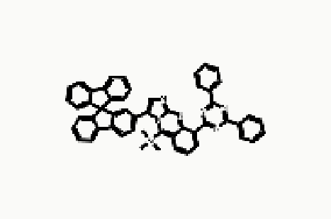 C[Si](C)(C)c1c2cccc(-c3nc(-c4ccccc4)nc(-c4ccccc4)n3)c2nc2ncc(-c3ccc4c(c3)C3(c5ccccc5-c5ccccc53)c3ccccc3-4)n12